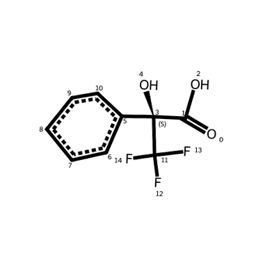 O=C(O)[C@@](O)(c1ccccc1)C(F)(F)F